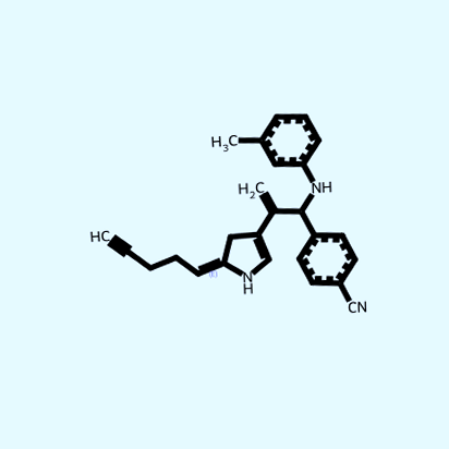 C#CCC/C=C1\CC(C(=C)C(Nc2cccc(C)c2)c2ccc(C#N)cc2)=CN1